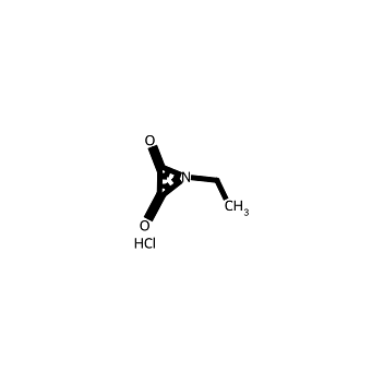 CCn1c(=O)c1=O.Cl